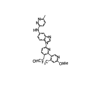 COc1cc(C(F)(F)F)c(-c2nc(-n3cnc4cc(Nc5ccc(C)nn5)ccc43)ccc2CC=O)cn1